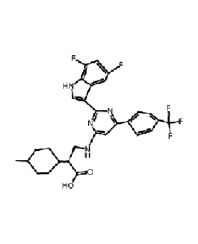 CC1CCC([C@@H](CNc2cc(-c3ccc(C(F)(F)F)cc3)nc(-c3c[nH]c4c(F)cc(F)cc34)n2)C(=O)O)CC1